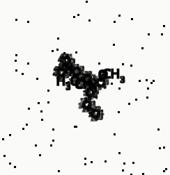 COc1cccc(N(c2ccc(-c3cccc(-c4ccccc4)c3)cc2)c2ccc3c(c2)C(C)(C)c2cc(-n4c5ccccc5c5ccccc54)ccc2-3)c1